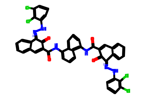 O=C(Nc1cccc2c(NC(=O)C3=Cc4ccccc4/C(=N\Nc4cccc(Cl)c4Cl)C3=O)cccc12)C1=Cc2ccccc2/C(=N/Nc2cccc(Cl)c2Cl)C1=O